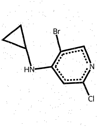 Clc1cc(NC2CC2)c(Br)cn1